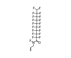 C=CCN(F)C(=O)C(F)(F)C(F)(F)C(F)(F)C(F)(F)C(F)(F)C(F)(F)C(F)(F)C(F)(F)C(F)F